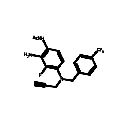 C#CCN(Cc1ccc(C(F)(F)F)cc1)c1ccc(NC(C)=O)c(N)c1F